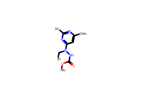 COc1cc(N(CC(C)C)NC(=O)OC(C)(C)C)nc(C#N)n1